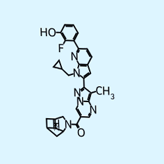 Cc1c(-c2cc3ccc(-c4cccc(O)c4F)nc3n2CC2CC2)nn2cc(C(=O)N3CC4CC5CC3[C@H]54)cnc12